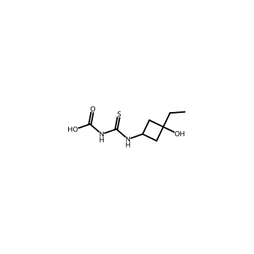 CCC1(O)CC(NC(=S)NC(=O)O)C1